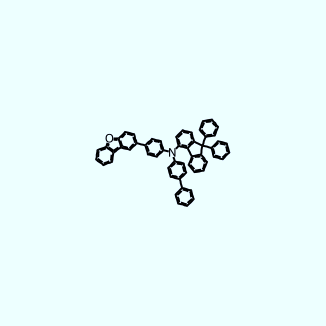 c1ccc(-c2ccc(N(c3ccc(-c4ccc5oc6ccccc6c5c4)cc3)c3cccc4c3-c3ccccc3C4(c3ccccc3)c3ccccc3)cc2)cc1